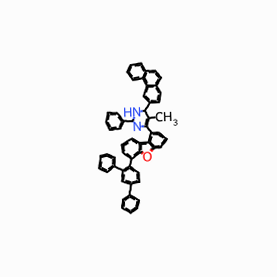 CC1=C(c2cccc3oc4c(-c5ccc(-c6ccccc6)cc5-c5ccccc5)cccc4c23)N=C(c2ccccc2)NC1c1ccc2ccc3ccccc3c2c1